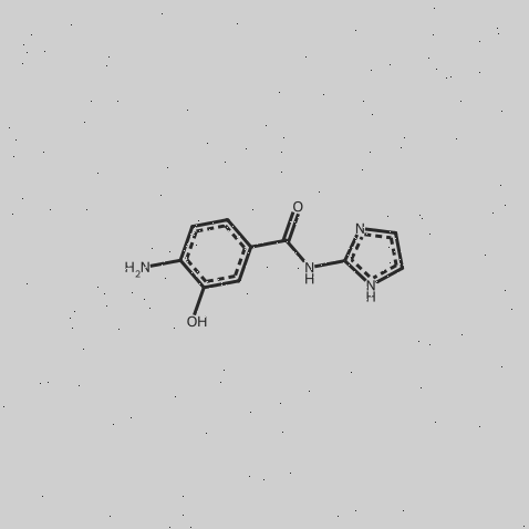 Nc1ccc(C(=O)Nc2ncc[nH]2)cc1O